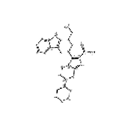 CCCCC(Cc1c[nH]c2ccccc12)c1c(C(N)=O)nc2n1CCN(C1CCCOC1)C2